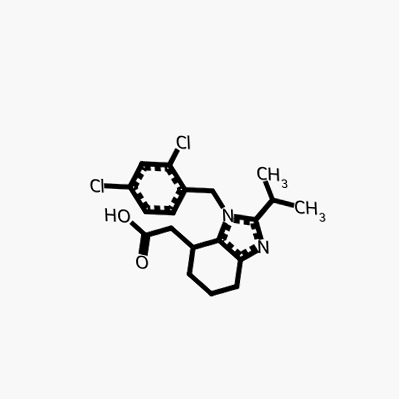 CC(C)c1nc2c(n1Cc1ccc(Cl)cc1Cl)C(CC(=O)O)CCC2